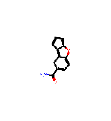 NC(=O)C1=CC=c2oc3c(c2C1)C=CC=3